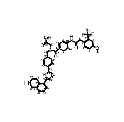 COC1C=CC(CC(=O)NC2=CC=C(C(=O)N(CC(=O)O)CC3C=CC(c4noc(-c5cccc6c5CCNC6)n4)=CC3)CC2)=C(C(F)(F)F)C1